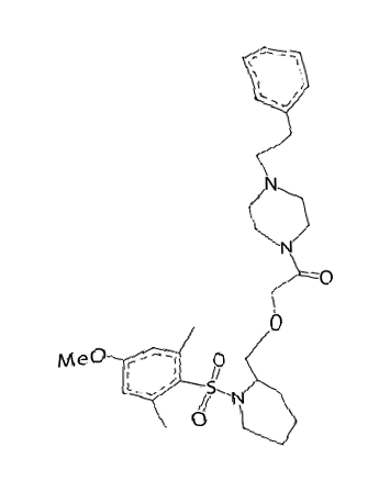 COc1cc(C)c(S(=O)(=O)N2CCCCC2COCC(=O)N2CCN(CCc3ccccc3)CC2)c(C)c1